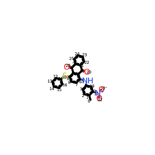 Cc1ccc(Nc2ccc(Sc3ccccc3)c3c2C(=O)c2ccccc2C3=O)cc1[N+](=O)[O-]